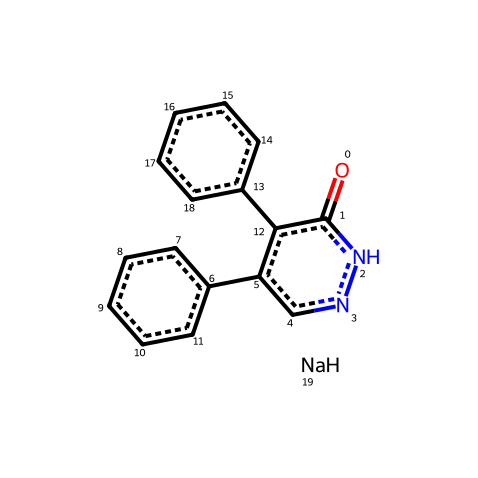 O=c1[nH]ncc(-c2ccccc2)c1-c1ccccc1.[NaH]